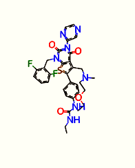 CCNC(=O)Nc1ccc(-c2sc3c(c2CN(C)CCOCC)c(=O)n(-c2cnccn2)c(=O)n3Cc2c(F)cccc2F)cc1